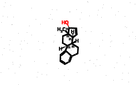 C[C@]12CC[C@@H]3c4ccccc4CC[C@H]3[C@@H]1C=C[C@H]2O